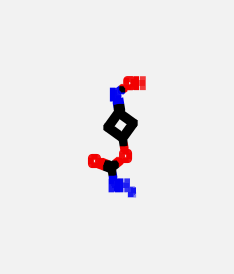 NC(=O)OC1CC(=NO)C1